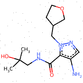 CC(C)(O)CNC(=O)c1c(N)cnn1CC1CCOC1